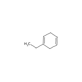 C[CH]C1=CCC=CC1